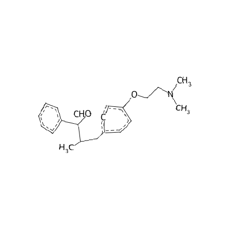 CC(Cc1ccc(OCCN(C)C)cc1)C(C=O)c1ccccc1